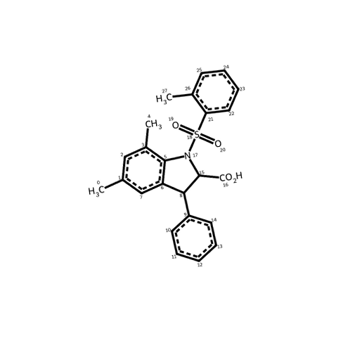 Cc1cc(C)c2c(c1)C(c1ccccc1)C(C(=O)O)N2S(=O)(=O)c1ccccc1C